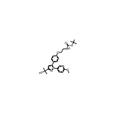 COc1ccc(-n2nc(C(C)(C)O)cc2-c2ccc(OCCNC(=O)OC(C)(C)C)cc2)cn1